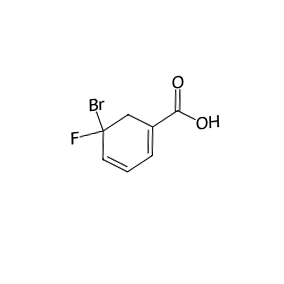 O=C(O)C1=CC=CC(F)(Br)C1